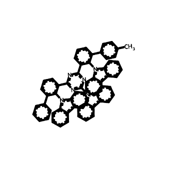 Cc1ccc(-c2cccc(-c3nc(-c4cccc(-c5ccccc5)c4-n4c5ccccc5c5ccccc54)nc(-n4c5ccccc5c5ccccc54)n3)c2-n2c3ccccc3c3ccccc32)cc1